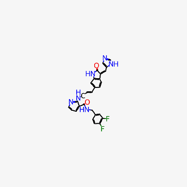 O=C1Nc2cc(C=CCNc3ncccc3C(=O)NCc3ccc(F)c(F)c3)ccc2C1=Cc1cnc[nH]1